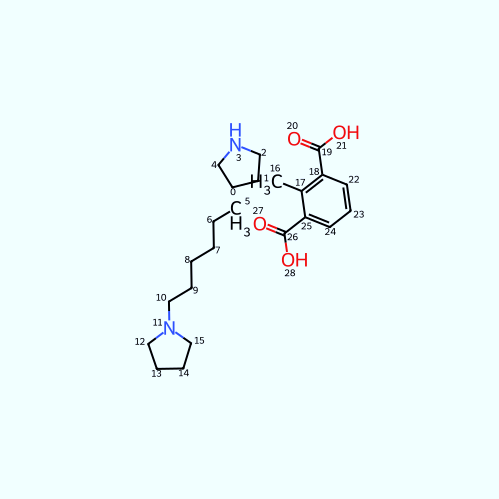 C1CCNC1.CCCCCCN1CCCC1.Cc1c(C(=O)O)cccc1C(=O)O